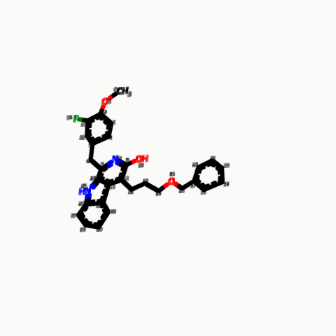 COc1ccc(Cc2nc(O)c(CCCOCc3ccccc3)c3c2[nH]c2ccccc23)cc1F